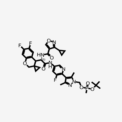 Cc1nn(COP(C)(=O)OC(C)(C)C)c(C)c1-c1ncc(NC(=O)[C@@H](NC(=O)c2conc2C2CC2)C2c3cc(F)c(F)cc3OCC23CC3)cc1F